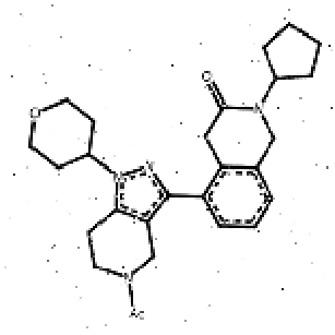 CC(=O)N1CCc2c(c(-c3cccc4c3CC(=O)N(C3CCCC3)C4)nn2C2CCOCC2)C1